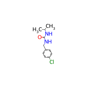 CC(C)NC(=O)NCc1ccc(Cl)cc1